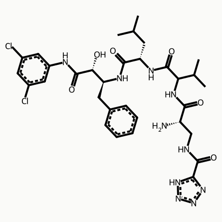 CC(C)C[C@H](NC(=O)C(NC(=O)[C@@H](N)CNC(=O)c1nnn[nH]1)C(C)C)C(=O)N[C@@H](Cc1ccccc1)[C@@H](O)C(=O)Nc1cc(Cl)cc(Cl)c1